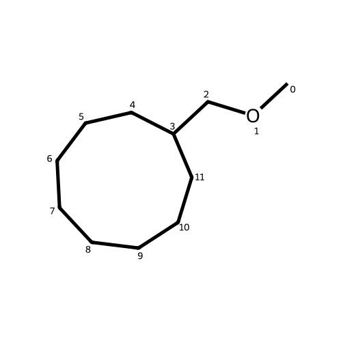 COCC1CCCCCCCC1